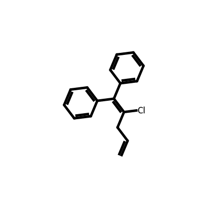 C=CCC(Cl)=C(c1ccccc1)c1ccccc1